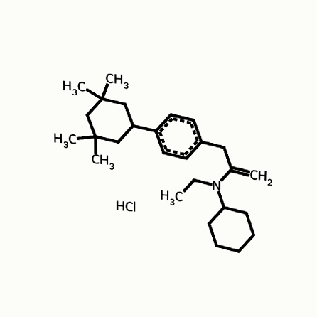 C=C(Cc1ccc(C2CC(C)(C)CC(C)(C)C2)cc1)N(CC)C1CCCCC1.Cl